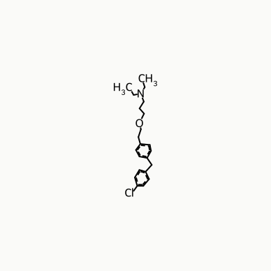 CCN(CC)CCCOCCc1ccc(Cc2ccc(Cl)cc2)cc1